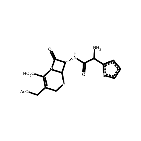 CC(=O)OCC1=C(C(=O)O)N2C(=O)[C@H](NC(=O)C(N)c3cccs3)C2SC1